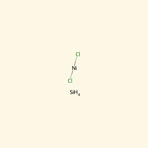 [Cl][Ni][Cl].[SiH4]